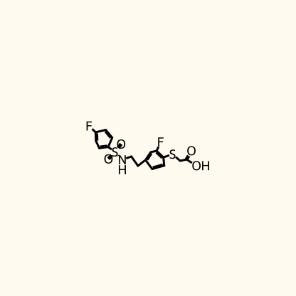 O=C(O)CSc1ccc(CCNS(=O)(=O)c2ccc(F)cc2)cc1F